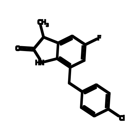 CC1C(=O)Nc2c(Cc3ccc(Cl)cc3)cc(F)cc21